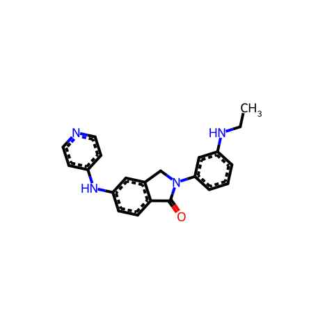 CCNc1cccc(N2Cc3cc(Nc4ccncc4)ccc3C2=O)c1